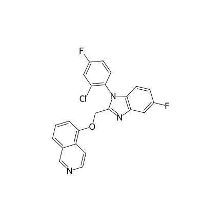 Fc1ccc(-n2c(COc3cccc4cnccc34)nc3cc(F)ccc32)c(Cl)c1